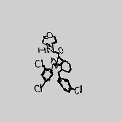 O=C(NN1CCOCC1)c1nn(-c2ccc(Cl)cc2Cl)c2c1CCCCC2Cc1cccc(Cl)c1